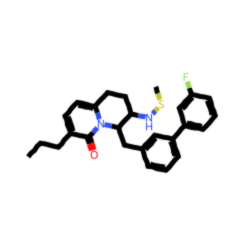 CCCc1ccc2n(c1=O)C(Cc1cccc(-c3cccc(F)c3)c1)C(NSC)CC2